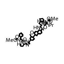 COC(=O)N[C@H](C(=O)N1C(c2nc3ccc4cc5c(cc4c3[nH]2)OCc2cc(-c3cnc(C4CCCN4C(=O)[C@H](NC(=O)OC)c4ccccc4)[nH]3)ccc2-5)C[C@@H]2CCC[C@@H]21)C(C)C